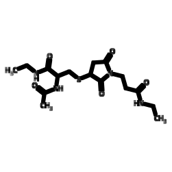 CCNC(=O)CCN1C(=O)CC(SCC(NC(C)=O)C(=O)NCC)C1=O